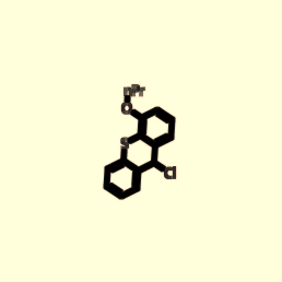 CCCOc1cccc2c1Sc1ccccc1C2Cl